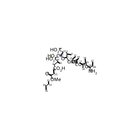 C=C(C)C(=O)OC.C=C(CC(=O)O)C(=O)O.C=CC#N.C=CC(=C)C.C=CC(=O)O.C=CC(=O)OC.C=CC(N)=O.C=CC=C.O=C(O)/C=C\C(=O)O